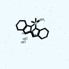 CCCCC1=CC2=C(CCCC2)[CH]1[Ti]([CH3])([CH3])(=[SiH2])[CH]1C(CCCC)=CC2=C1CCCC2.Cl.Cl